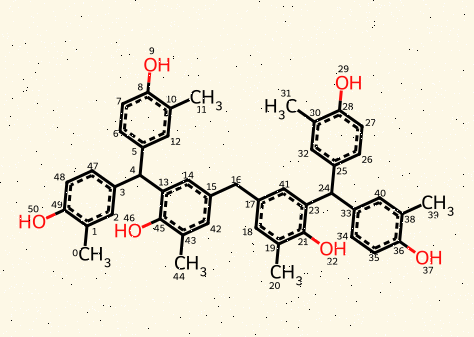 Cc1cc(C(c2ccc(O)c(C)c2)c2cc(Cc3cc(C)c(O)c(C(c4ccc(O)c(C)c4)c4ccc(O)c(C)c4)c3)cc(C)c2O)ccc1O